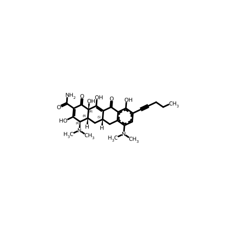 CCCC#Cc1cc(N(C)C)c2c(c1O)C(=O)C1=C(O)[C@@]3(O)C(=O)C(C(N)=O)=C(O)[C@H](N(C)C)[C@H]3C[C@H]1C2